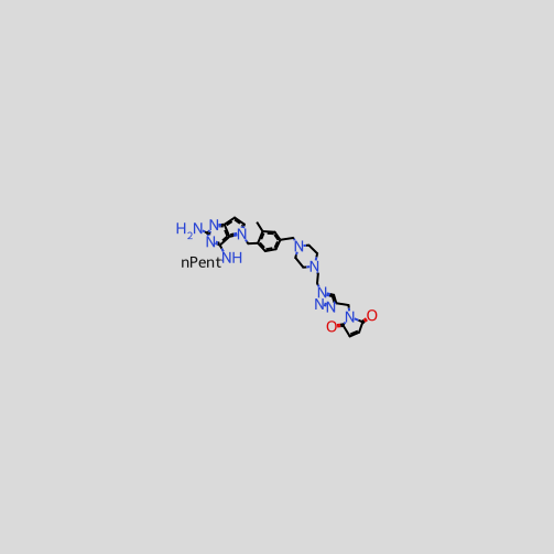 CCCCCNc1nc(N)nc2ccn(Cc3ccc(CN4CCN(CCn5cc(CN6C(=O)C=CC6=O)nn5)CC4)cc3C)c12